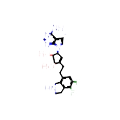 Nc1ncnc2c1ccn2C1C=C(CCc2cc(F)c(F)c3c2CNCC3)C(O)C1O